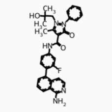 Cc1c(C(=O)Nc2ccc(-c3cccc4c(N)nccc34)c(F)c2)c(=O)n(-c2ccccc2)n1CC(C)(C)O